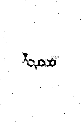 O=C(O)c1cccc(Nc2cccc(C(=O)N3CCN(C(=O)C4CC4)CC3)c2)c1O